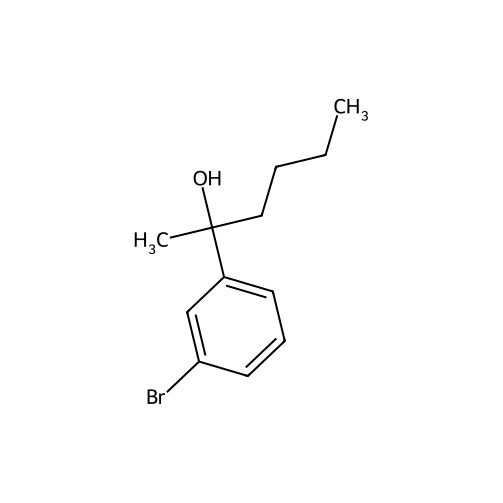 CCCCC(C)(O)c1cccc(Br)c1